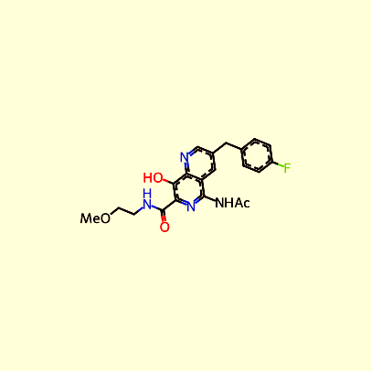 COCCNC(=O)c1nc(NC(C)=O)c2cc(Cc3ccc(F)cc3)cnc2c1O